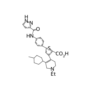 CCN1CCC(c2cc(-c3ccc(NC(=O)c4cc[nH]n4)cc3)sc2C(=O)O)=C(C2CCC(C)CC2)C1